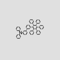 c1ccc(-c2c(-c3ccccc3)c(-c3ccccc3)c(-c3cccc(-c4cccc(N(c5ccccc5)c5ccccc5)c4)c3)c(-c3ccccc3)c2-c2ccccc2)cc1